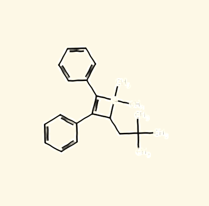 CC(C)(C)CC1C(c2ccccc2)=C(c2ccccc2)[Si]1(C)C